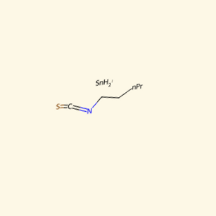 CCCCCN=C=S.[SnH2]